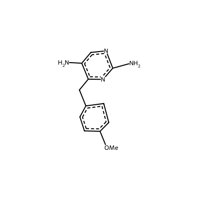 COc1ccc(Cc2nc(N)ncc2N)cc1